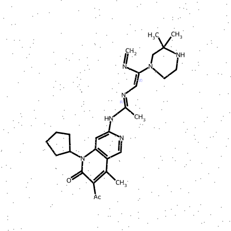 C=N/C(=C\N=C(/C)Nc1cc2c(cn1)c(C)c(C(C)=O)c(=O)n2C1CCCC1)N1CCNC(C)(C)C1